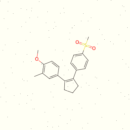 COc1ccc(C2=C(c3ccc(S(C)(=O)=O)cc3)CCC2)cc1C